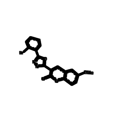 COc1ccc2oc(=O)c(-c3nnc(-c4ccccc4Br)o3)cc2c1